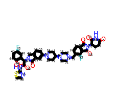 O=C1CCC(N2C(=O)c3ccc(CN4CCN(C5CCN(c6ccc7c(c6)C(=O)N(C(C(=O)Nc6nccs6)c6cc(F)ccc6O)C7)CC5)CC4)c(F)c3C2=O)C(=O)N1